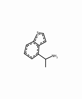 CC(N)c1cccc2sccc12